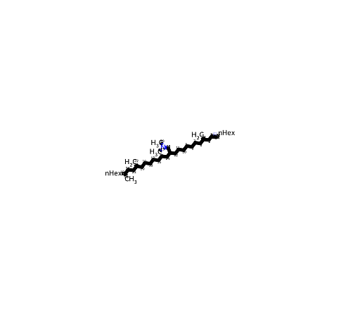 C=C(C/C=C/CCCCCC)CCCCCCCC(CCCCCCCC(=C)CCC(C)CCCCCC)CN(C)C